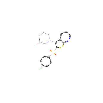 O=S(=O)(c1ccc(Cl)cc1)c1sc2ncccc2c1N1CCCC(O)C1